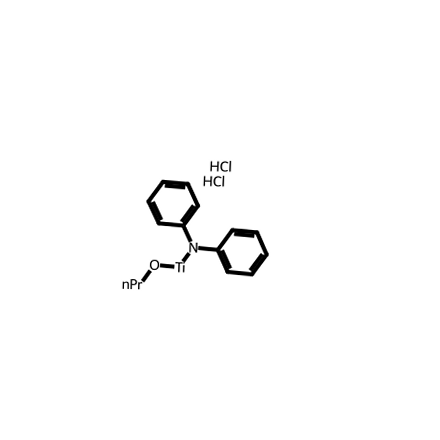 CCC[O][Ti][N](c1ccccc1)c1ccccc1.Cl.Cl